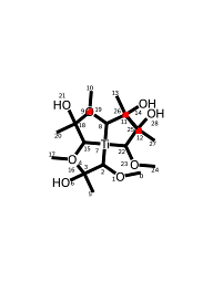 CO[CH](C(C)(C)O)[Ti]([CH](OC)C(C)(C)O)([CH](OC)C(C)(C)O)[CH](OC)C(C)(C)O